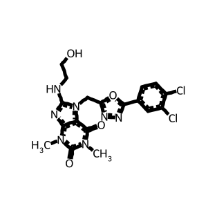 Cn1c(=O)c2c(nc(NCCO)n2Cc2nnc(-c3ccc(Cl)c(Cl)c3)o2)n(C)c1=O